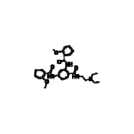 CCN(CC)CCNC(=O)c1ccc(NC(=O)c2ccccc2OC)cc1NC(=O)c1ccccc1OC